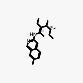 CC/C(=C(/C)Nc1cc2ccc(C)cc2cn1)C(C)[C@H](C)CC